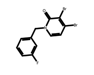 O=c1c(Br)c(Br)ccn1Cc1cccc(F)c1